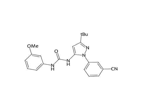 COc1cccc(NC(=O)Nc2cc(C(C)(C)C)nn2-c2cccc(C#N)c2)c1